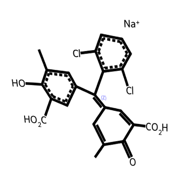 CC1=C/C(=C(\c2cc(C)c(O)c(C(=O)O)c2)c2c(Cl)cccc2Cl)C=C(C(=O)O)C1=O.[Na+]